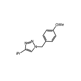 COc1ccc(Cn2cc(C(C)C)nn2)cc1